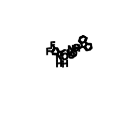 O=C(N[C@@H](Cc1c[nH]c2cc(F)c(F)cc12)C(=O)O)OCC1c2ccccc2-c2ccccc21